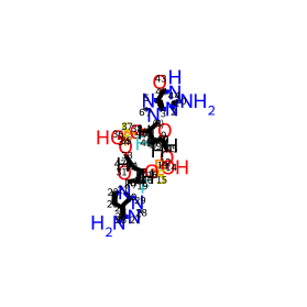 Nc1nc2c(ncn2[C@@H]2O[C@@H]3COP(O)(=S)O[C@H]4[C@H](F)[C@H](n5ccc6c(N)ncnc65)O[C@@H]4COP(O)(=S)O[C@@H]2[C@H]3F)c(=O)[nH]1